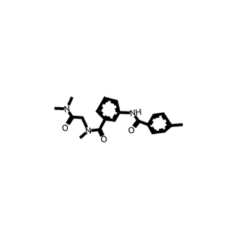 Cc1ccc(C(=O)Nc2c[c]cc(C(=O)N(C)CC(=O)N(C)C)c2)cc1